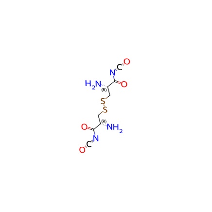 N[C@@H](CSSC[C@H](N)C(=O)N=C=O)C(=O)N=C=O